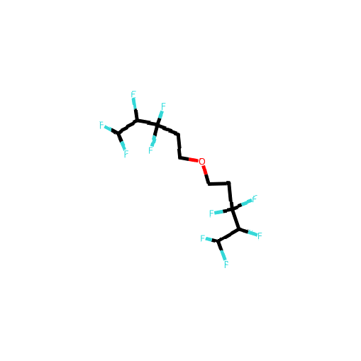 FC(F)C(F)C(F)(F)CCOCCC(F)(F)C(F)C(F)F